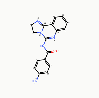 Nc1ccc(C(=O)NC2=Nc3ccccc3C3=NCCN23)cc1